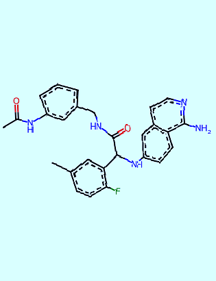 CC(=O)Nc1cccc(CNC(=O)C(Nc2ccc3c(N)nccc3c2)c2cc(C)ccc2F)c1